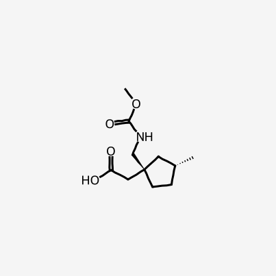 COC(=O)NC[C@]1(CC(=O)O)CC[C@@H](C)C1